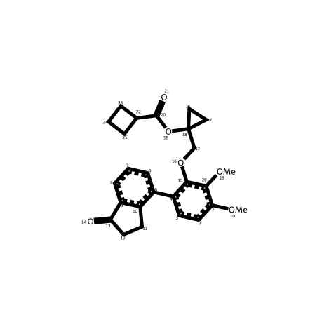 COc1ccc(-c2cccc3c2CCC3=O)c(OCC2(OC(=O)C3CCC3)CC2)c1OC